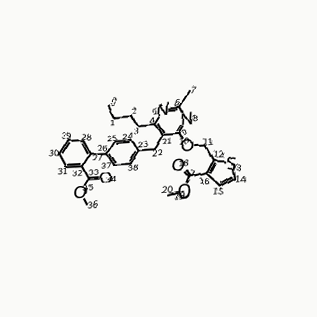 CCCCc1nc(C)nc(OCc2sccc2C(=O)OC)c1Cc1ccc(-c2ccccc2C(=O)OC)cc1